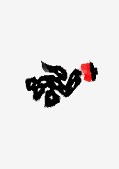 CC1(C)OB(c2ccc3c4c(-c5ccccc5)c5cc6c7ccccc7c7cccc(c5c(-c5ccccc5)c4c4cccc2c34)c76)OC1(C)C